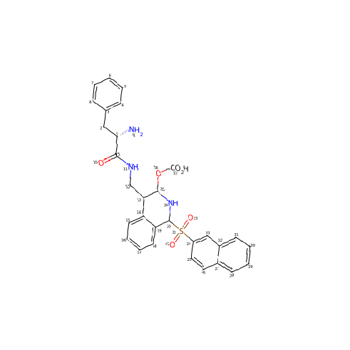 N[C@@H](Cc1ccccc1)C(=O)NCC1c2ccccc2C(S(=O)(=O)c2ccc3ccccc3c2)NC1OC(=O)O